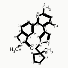 Cc1cc(F)c(-c2cnn(CC3(C)CCCC3)c2)c(-c2ccc3c(c2)C(=O)N(C)C3)n1